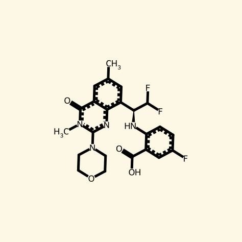 Cc1cc([C@H](Nc2ccc(F)cc2C(=O)O)C(F)F)c2nc(N3CCOCC3)n(C)c(=O)c2c1